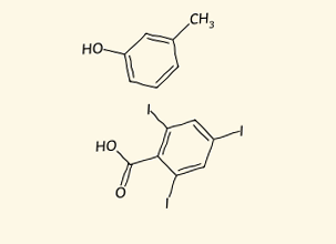 Cc1cccc(O)c1.O=C(O)c1c(I)cc(I)cc1I